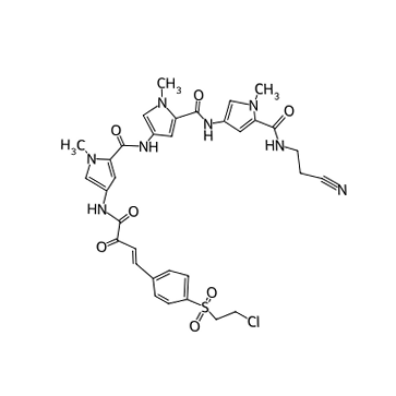 Cn1cc(NC(=O)c2cc(NC(=O)c3cc(NC(=O)C(=O)/C=C/c4ccc(S(=O)(=O)CCCl)cc4)cn3C)cn2C)cc1C(=O)NCCC#N